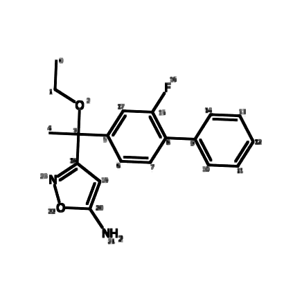 CCOC(C)(c1ccc(-c2ccccc2)c(F)c1)c1cc(N)on1